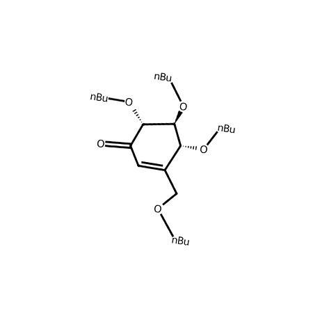 CCCCOCC1=CC(=O)[C@H](OCCCC)[C@@H](OCCCC)[C@@H]1OCCCC